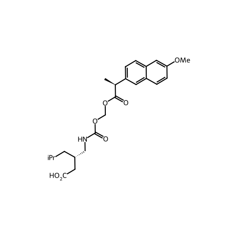 COc1ccc2cc([C@H](C)C(=O)OCOC(=O)NC[C@H](CC(=O)O)CC(C)C)ccc2c1